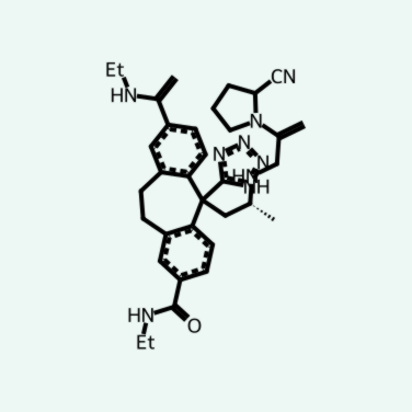 C=C(NCC)c1ccc2c(c1)CCc1cc(C(=O)NCC)ccc1C2(C[C@@H](C)NCC(=C)N1CCCC1C#N)c1nnn[nH]1